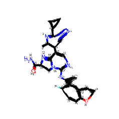 Cc1nc(C2CC2)ncc1-c1cnc(NCc2c(F)ccc3c2CCO3)n2cc(C(N)=O)nc12